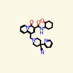 N#CC1(c2ccccn2)CCN(Cc2cc(C(=O)N[C@@H]3CCCCC3=O)c(=O)n3ccccc23)CC1